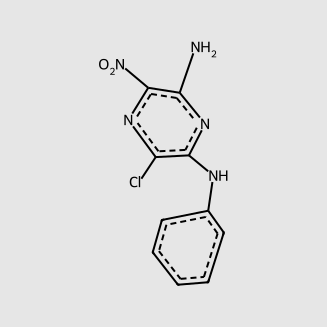 Nc1nc(Nc2ccccc2)c(Cl)nc1[N+](=O)[O-]